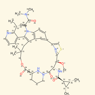 CCO[C@@H]1c2nc(cs2)-c2ccc3c(c2)c(c(-c2cccnc2[C@H](C)OC)n3CC(=O)N(C)C)CC(C)(C)COC(=O)[C@@H]2CCCN(N2)C(=O)[C@H]1NC(=O)[C@H]1[C@H](C)[C@@H]1C